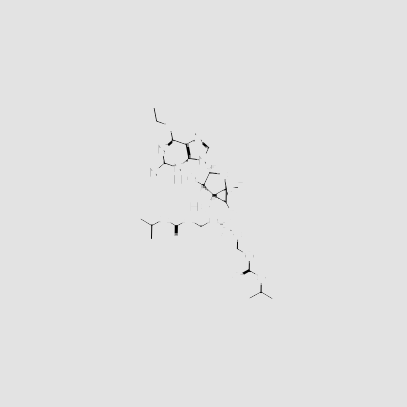 CCOC1=NC(N)Nc2c1ncn2[C@@H]1O[C@]2(F)C(OP(=O)(OCOC(=O)OC(C)C)OCOC(=O)OC(C)C)[C@]2(O)[C@@]1(C)O